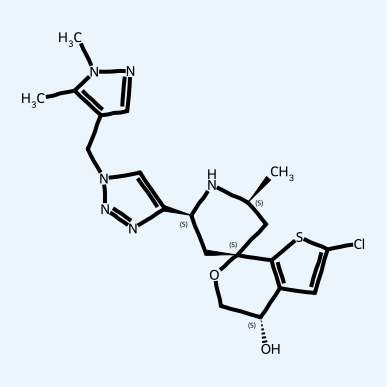 Cc1c(Cn2cc([C@@H]3C[C@]4(C[C@H](C)N3)OC[C@@H](O)c3cc(Cl)sc34)nn2)cnn1C